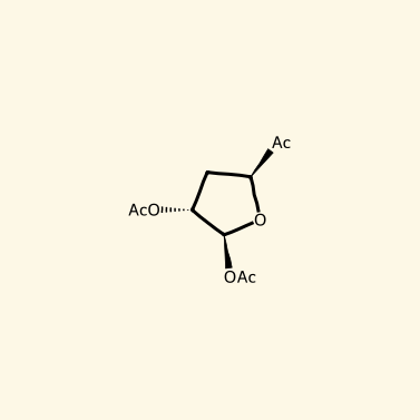 CC(=O)O[C@@H]1O[C@H](C(C)=O)C[C@H]1OC(C)=O